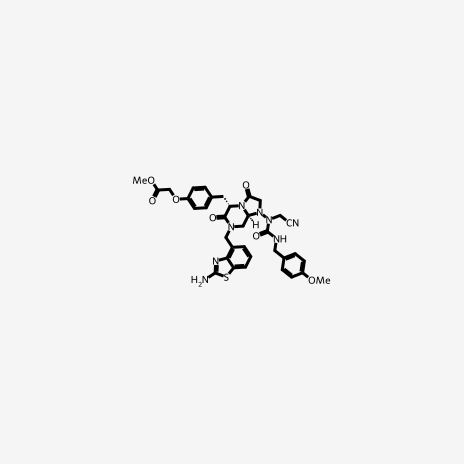 COC(=O)COc1ccc(C[C@H]2C(=O)N(Cc3cccc4sc(N)nc34)C[C@H]3N2C(=O)CN3N(CC#N)C(=O)NCc2ccc(OC)cc2)cc1